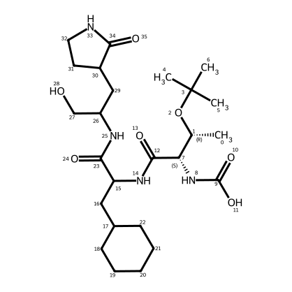 C[C@@H](OC(C)(C)C)[C@H](NC(=O)O)C(=O)NC(CC1CCCCC1)C(=O)NC(CO)CC1CCNC1=O